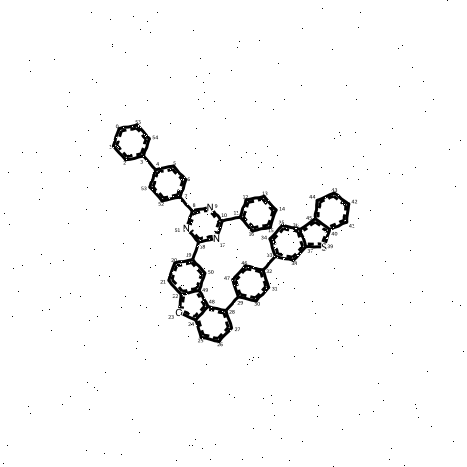 c1ccc(-c2ccc(-c3nc(-c4ccccc4)nc(-c4ccc5oc6cccc(-c7ccc(-c8ccc9c(c8)sc8ccccc89)cc7)c6c5c4)n3)cc2)cc1